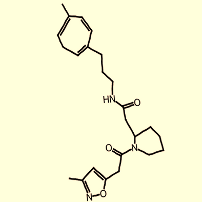 CC1=CCC=C(CCCNC(=O)CC2CCCCN2C(=O)Cc2cc(C)no2)C=C1